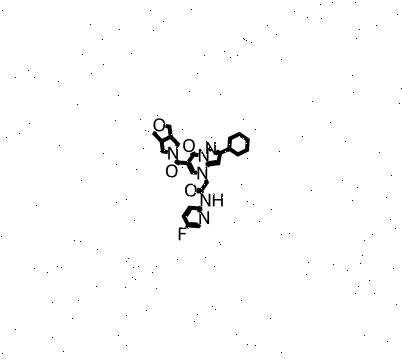 O=C(Cn1cc(C(=O)N2CC3COCC3C2)c(=O)n2nc(C3CCCCC3)cc12)Nc1ccc(F)cn1